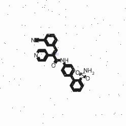 N#Cc1cccc(/C=C(/C(=O)Nc2ccc(-c3ccccc3S(N)(=O)=O)cc2)c2ccncc2)c1